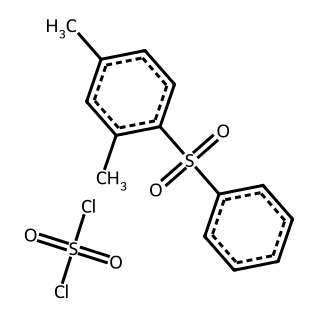 Cc1ccc(S(=O)(=O)c2ccccc2)c(C)c1.O=S(=O)(Cl)Cl